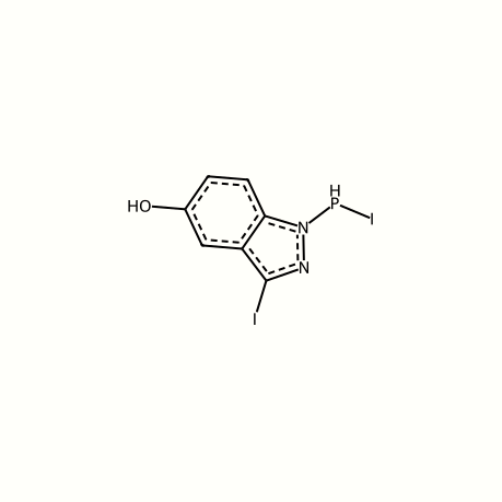 Oc1ccc2c(c1)c(I)nn2PI